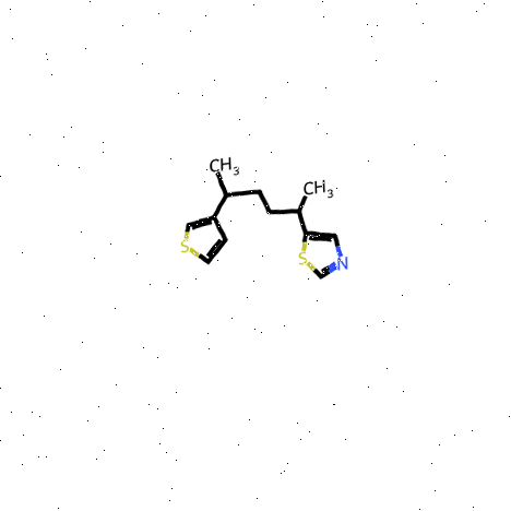 CC(CCC(C)c1cncs1)c1ccsc1